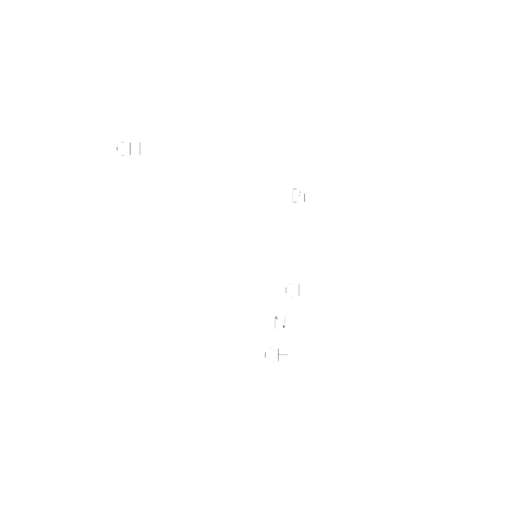 CCCCCCCC[N+](C)(C)Cc1ccccc1.[Br-]